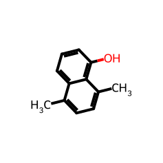 Cc1ccc(C)c2c(O)cccc12